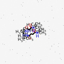 C[Si](C)(C)NC(=O)CC(=O)N[Si](C)(C)C.C[Si](C)(C)NC(=O)CCC(=O)N[Si](C)(C)C